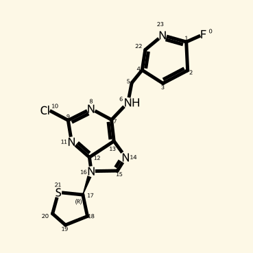 Fc1ccc(CNc2nc(Cl)nc3c2ncn3[C@H]2CCCS2)cn1